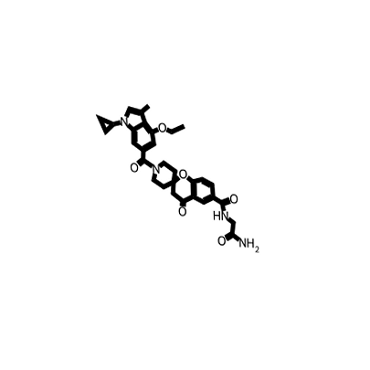 CCOc1cc(C(=O)N2CCC3(CC2)CC(=O)c2cc(C(=O)NCC(N)=O)ccc2O3)cc2c1c(C)cn2C1CC1